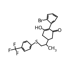 CC(CSc1ccc(C(F)(F)F)cc1)C1CC(=O)C(c2ccccc2Br)=C(O)C1